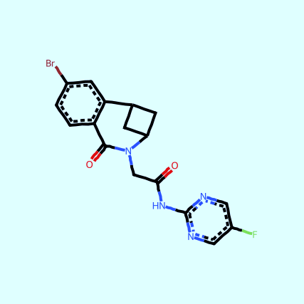 O=C(CN1C(=O)c2ccc(Br)cc2C2CC1C2)Nc1ncc(F)cn1